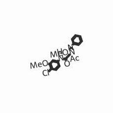 COc1cc(NC(=O)C(N=Nc2ccccc2)(OC)C(C)=O)ccc1Cl